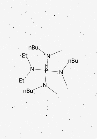 CCCCN(C)[PH](N(C)CCCC)(N(C)CCCC)N(CC)CC